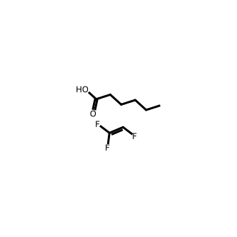 CCCCCC(=O)O.FC=C(F)F